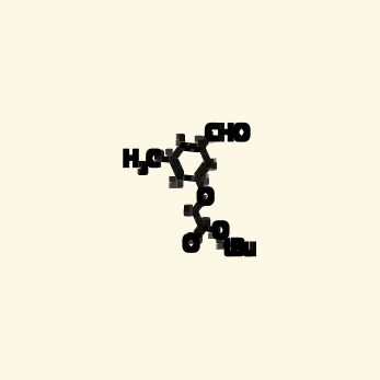 Cc1cc(C=O)cc(OCC(=O)OC(C)(C)C)c1